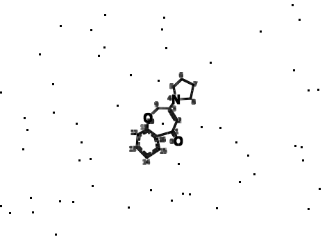 O=C1C=C(N2CCCC2)COc2ccccc21